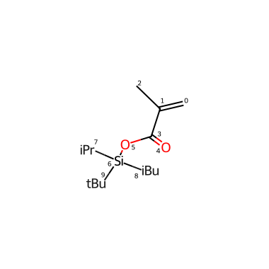 C=C(C)C(=O)O[Si](C(C)C)(C(C)CC)C(C)(C)C